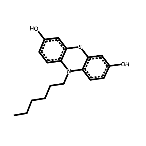 CCCCCCN1c2ccc(O)cc2Sc2cc(O)ccc21